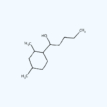 CCCCC(O)C1CCC(C)CC1C